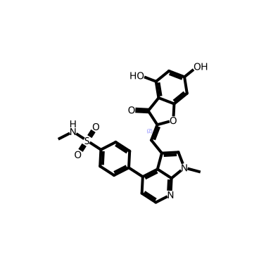 CNS(=O)(=O)c1ccc(-c2ccnc3c2c(/C=C2\Oc4cc(O)cc(O)c4C2=O)cn3C)cc1